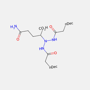 CCCCCCCCCCCC(=O)NN(NC(=O)CCCCCCCCCCC)C(CCC(N)=O)C(=O)O